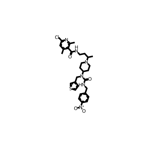 Cc1cc(Cl)nc(C)c1C(=O)NCCC(C)N1CCC(N(Cc2ccsc2)C(=O)NCc2ccc([N+](=O)[O-])cc2)CC1